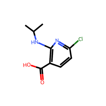 CC(C)Nc1nc(Cl)ccc1C(=O)O